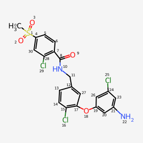 CS(=O)(=O)c1ccc(C(=O)NCc2ccc(Cl)c(Oc3cc(N)cc(Cl)c3)c2)c(Cl)c1